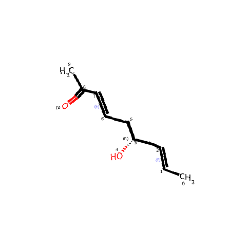 C/C=C/[C@H](O)C/C=C/C(C)=O